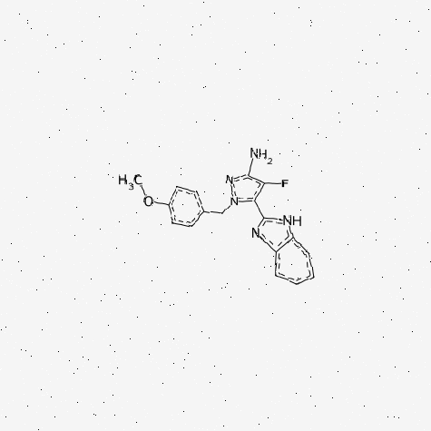 COc1ccc(Cn2nc(N)c(F)c2-c2nc3ccccc3[nH]2)cc1